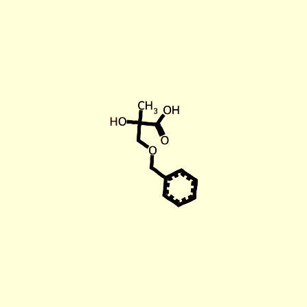 CC(O)(COCc1ccccc1)C(=O)O